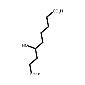 CCCCCCCCC(O)CCCCC(=O)O